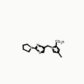 Cc1cc(C(=O)O)n(Cc2csc(N3CCCC3)n2)c1